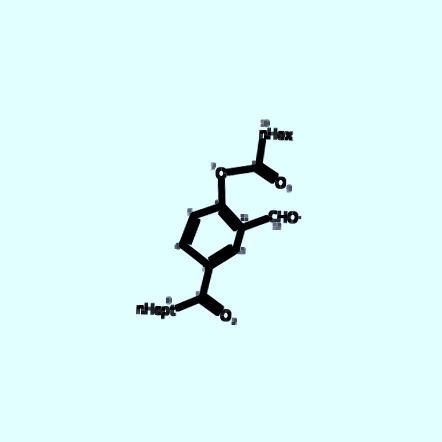 CCCCCCCC(=O)c1ccc(OC(=O)CCCCCC)c([C]=O)c1